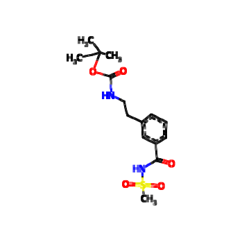 CC(C)(C)OC(=O)NCCc1cccc(C(=O)NS(C)(=O)=O)c1